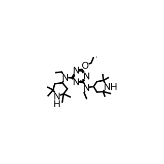 [CH2]COc1nc(N(CC)C2CC(C)(C)NC(C)(C)C2)nc(N(CC)C2CC(C)(C)NC(C)(C)C2)n1